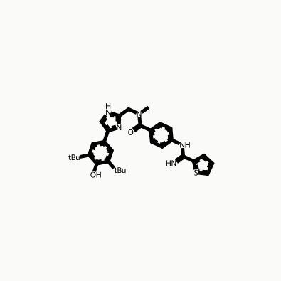 CN(Cc1nc(-c2cc(C(C)(C)C)c(O)c(C(C)(C)C)c2)c[nH]1)C(=O)c1ccc(NC(=N)c2cccs2)cc1